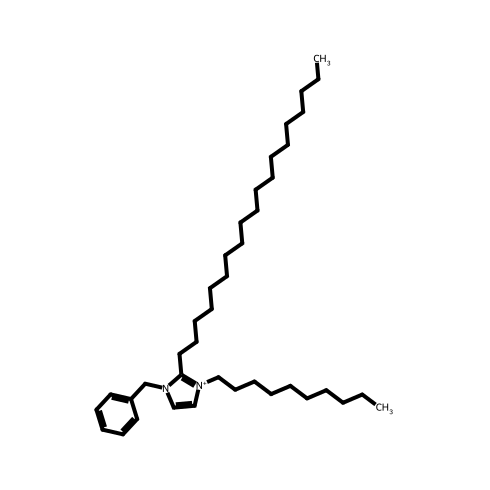 CCCCCCCCCCCCCCCCCCCc1n(Cc2ccccc2)cc[n+]1CCCCCCCCCC